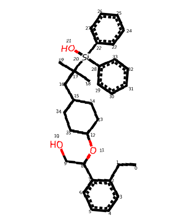 CCc1ccccc1C(CO)OC1CCC(CC(C)(C)[Si](O)(c2ccccc2)c2ccccc2)CC1